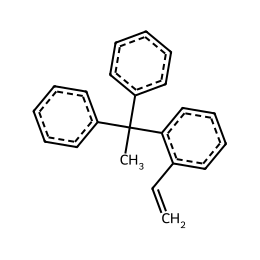 C=Cc1ccccc1C(C)(c1ccccc1)c1ccccc1